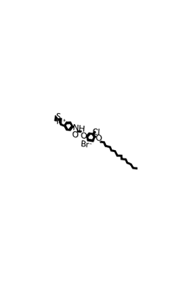 CCCCCCCCCCCCCCOc1ccc(OCC(=O)Nc2ccc(C[n+]3ccsc3)cc2)cc1Cl.[Br-]